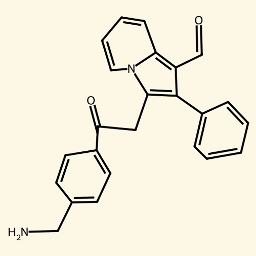 NCc1ccc(C(=O)Cc2c(-c3ccccc3)c(C=O)c3ccccn23)cc1